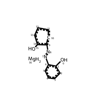 Oc1ccccc1N=Nc1ccccc1O.[MgH2]